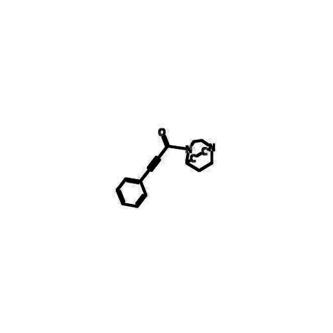 O=C(C#Cc1ccccc1)N1CCN2CCC1CC2